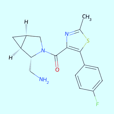 Cc1nc(C(=O)N2C[C@@H]3C[C@@H]3[C@H]2CN)c(-c2ccc(F)cc2)s1